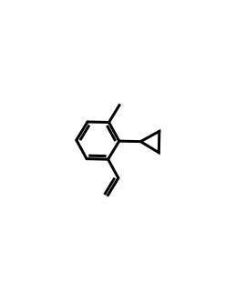 C=Cc1cccc(C)c1C1CC1